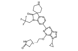 O=C1C[C@@H](CCOc2nc(-c3ccc4c(c3)N(CC(F)(F)F)C(=O)C43CCNCC3)cc3ncn(C4CC4)c23)CN1